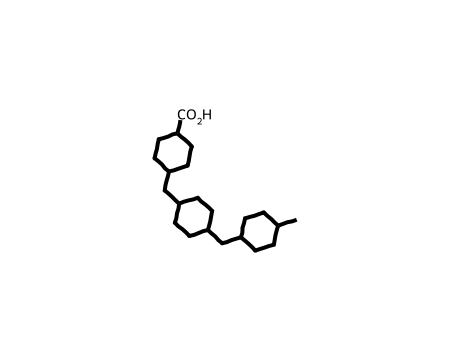 CC1CCC(CC2CCC(CC3CCC(C(=O)O)CC3)CC2)CC1